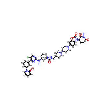 O=C1CCC(n2c(=O)oc3cc(N4CCC(N5CCC(CNC(=O)C6CCCC(Nc7ncc(F)c(-c8cccc(-n9ccccc9=O)c8)n7)C6)CC5)CC4)ccc32)C(=O)N1